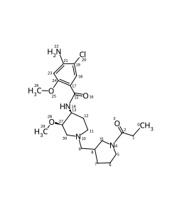 CCC(=O)N1CCCC(CN2CC[C@H](NC(=O)c3cc(Cl)c(N)cc3OC)[C@H](OC)C2)C1